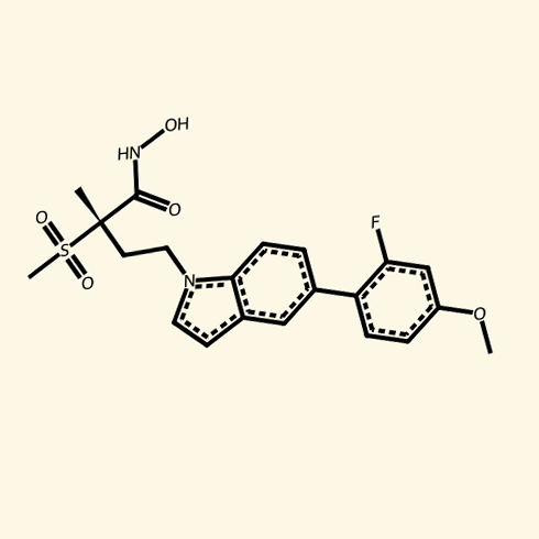 COc1ccc(-c2ccc3c(ccn3CC[C@@](C)(C(=O)NO)S(C)(=O)=O)c2)c(F)c1